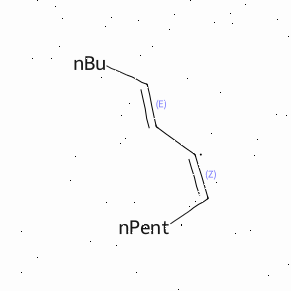 CCCC/C=C/[C]=C\CCCCC